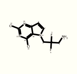 NCC(F)(F)Cn1ccc2nc(Cl)nc(Cl)c21